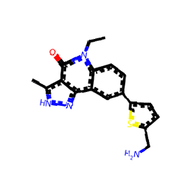 CCn1c(=O)c2c(C)[nH]nc2c2cc(-c3ccc(CN)s3)ccc21